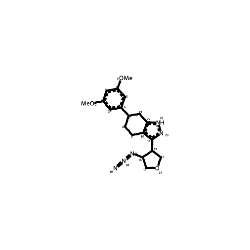 COc1cc(OC)cc(C2CCc3c(C4COCC4N=[N+]=[N-])n[nH]c3C2)c1